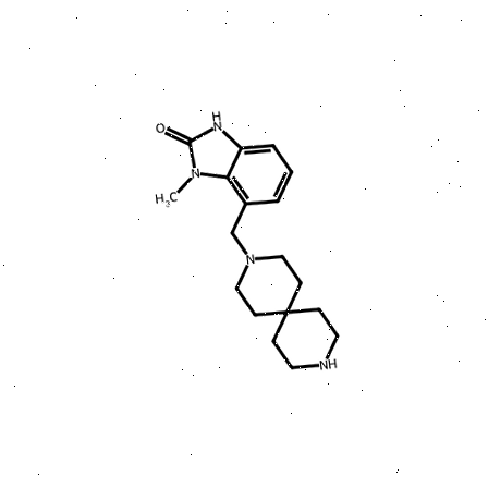 Cn1c(=O)[nH]c2cccc(CN3CCC4(CCNCC4)CC3)c21